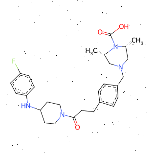 C[C@@H]1CN(Cc2ccc(CCC(=O)N3CCC(Nc4ccc(F)cc4)CC3)cc2)C[C@H](C)N1C(=O)O